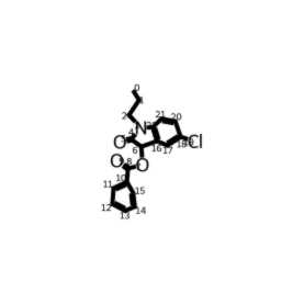 CCCN1C(=O)C(OC(=O)c2ccccc2)c2cc(Cl)ccc21